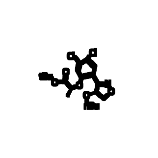 CCCCO[C@@H]1CON=C1c1cc(Cl)c(Cl)cc1O[C@@H](C)C(=O)OC(C)(C)C